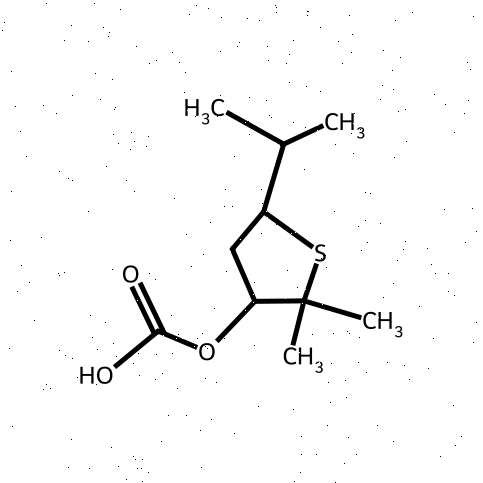 CC(C)C1CC(OC(=O)O)C(C)(C)S1